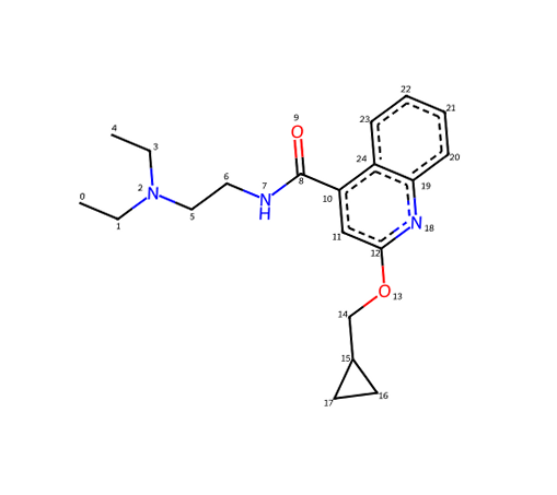 CCN(CC)CCNC(=O)c1cc(OCC2CC2)nc2ccccc12